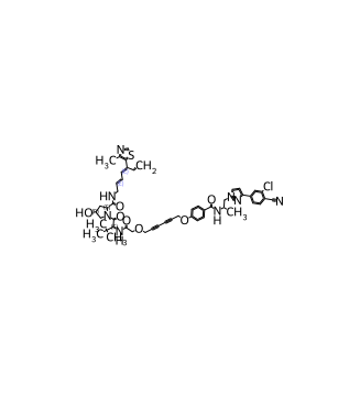 C=C/C(=C\C=C\CNC(=O)[C@@H]1C[C@@H](O)CN1C(=O)[C@@H](NC(=O)COCC#CC#CCOc1ccc(C(=O)NC(C)Cn2ccc(-c3ccc(C#N)c(Cl)c3)n2)cc1)C(C)(C)C)c1scnc1C